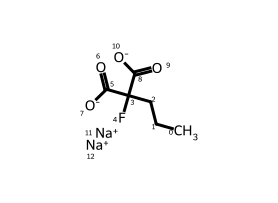 CCCC(F)(C(=O)[O-])C(=O)[O-].[Na+].[Na+]